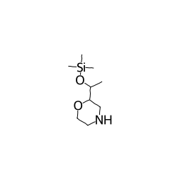 CC(O[Si](C)(C)C)C1CNCCO1